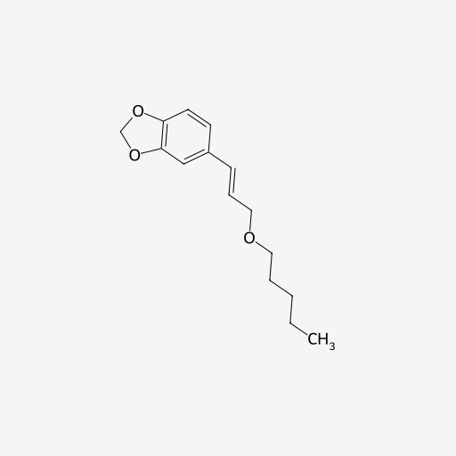 CCCCCOCC=Cc1ccc2c(c1)OCO2